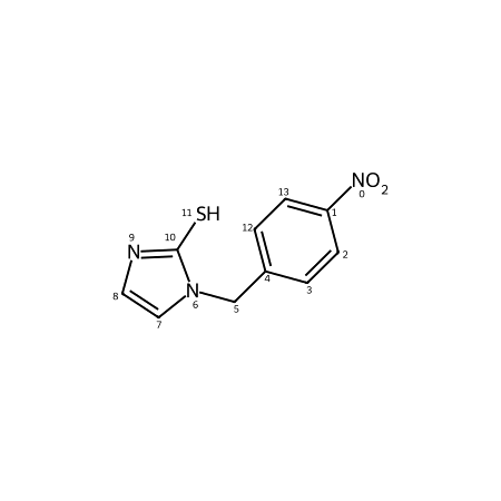 O=[N+]([O-])c1ccc(Cn2ccnc2S)cc1